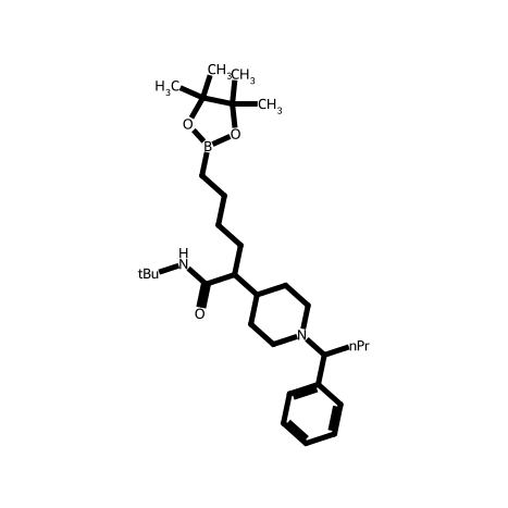 CCCC(c1ccccc1)N1CCC(C(CCCCB2OC(C)(C)C(C)(C)O2)C(=O)NC(C)(C)C)CC1